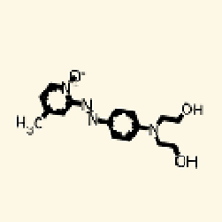 Cc1cc[n+]([O-])c(N=Nc2ccc(N(CCO)CCO)cc2)c1